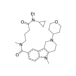 CCN(C(=O)CCCN(C)C(=O)c1ccc2c(c1)c1c(n2C)CCN(C2CCOCC2)C1)C1CC1